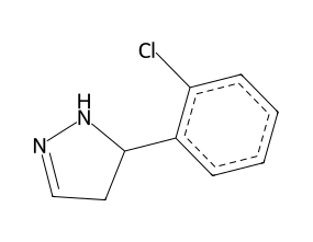 Clc1ccccc1C1CC=NN1